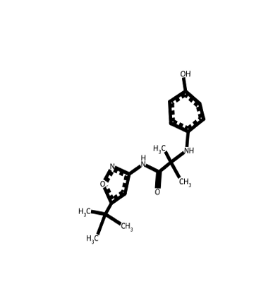 CC(C)(Nc1ccc(O)cc1)C(=O)Nc1cc(C(C)(C)C)on1